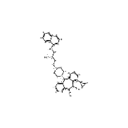 O[C@H](CCN1CCN(C2c3ccccc3C(F)C(F)c3c(C4CC4)cccc32)CC1)COc1cccc2ccccc12